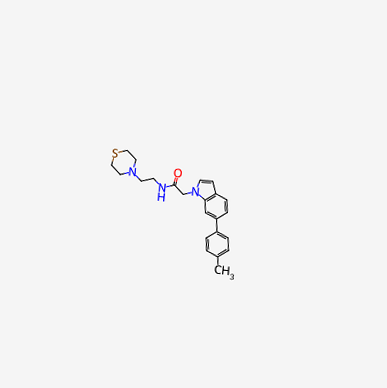 Cc1ccc(-c2ccc3ccn(CC(=O)NCCN4CCSCC4)c3c2)cc1